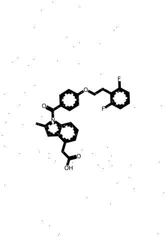 Cc1cc2c(CC(=O)O)cccc2n1C(=O)c1ccc(OCCc2c(F)cccc2F)cc1